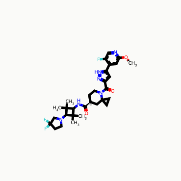 COc1cc(-c2cc(C(=O)N3CC[C@H](C(=O)NC4C(C)(C)C(N5CCC(F)(F)C5)C4(C)C)CC34CC4)n[nH]2)c(F)cn1